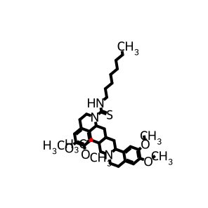 CCCCCCCCNC(=S)N1CCc2cc(OC)c(OC)cc2C1CC1CC2c3cc(OC)c(OC)cc3CCN2CC1CC